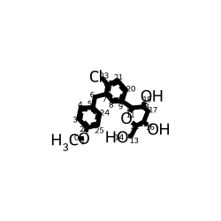 COc1ccc(Cc2cc(C3OC(CO)C(O)CC3O)ccc2Cl)cc1